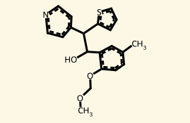 COCOc1ccc(C)cc1C(O)C(c1ccncc1)c1cccs1